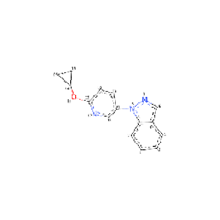 [c]1ccc2c(c1)cnn2-c1ccc(OC2CC2)nc1